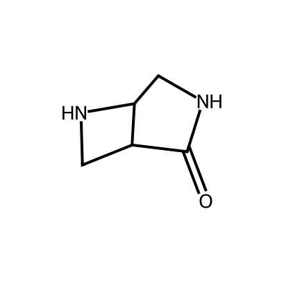 O=C1NCC2NCC12